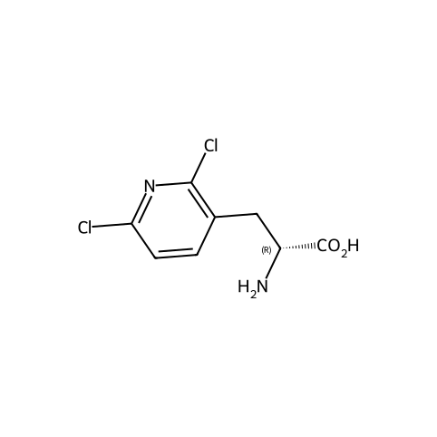 N[C@H](Cc1ccc(Cl)nc1Cl)C(=O)O